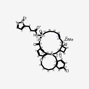 CCn1nccc1CCC(=O)NS1(=O)=NC(=O)c2ccc3c(c2)N(Cc2ccc(Cl)cc2CCCCO3)C[C@@H]2CC[C@H]2[C@@H](OC)/C=C/CCC1